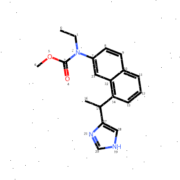 CCN(C(=O)OC)c1ccc2cccc(C(C)c3c[nH]cn3)c2c1